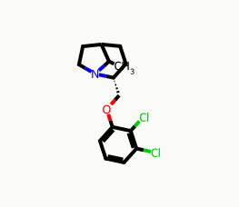 CC1C2CC[C@H](COc3cccc(Cl)c3Cl)N1CC2